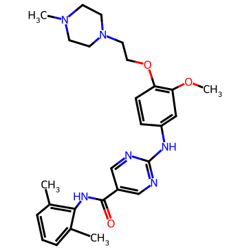 COc1cc(Nc2ncc(C(=O)Nc3c(C)cccc3C)cn2)ccc1OCCN1CCN(C)CC1